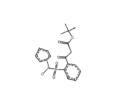 CC(C)(C)OC(=O)CC(=O)c1ccccc1S(=O)(=O)N(Cl)c1ccccc1